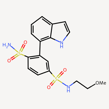 COCCNS(=O)(=O)c1ccc(S(N)(=O)=O)c(-c2cccc3cc[nH]c23)c1